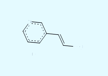 Cl.O=C(O)/C=C/c1cccnc1